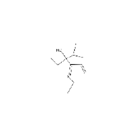 C=CC(=NCC)C(O)(C(C)C)C(C)C